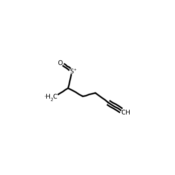 C#CCCC([CH2])[S+]=O